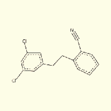 N#Cc1ccccc1CCc1cc(Cl)cc(Cl)c1